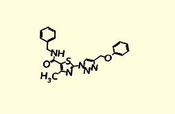 Cc1nc(-n2cc(COc3ccccc3)nn2)sc1C(=O)NCc1ccccc1